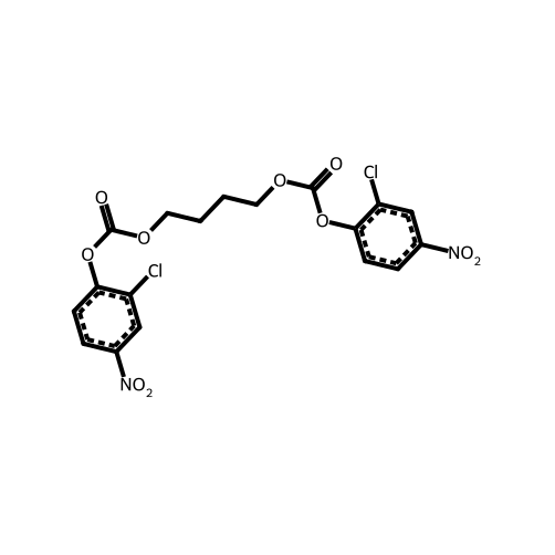 O=C(OCCCCOC(=O)Oc1ccc([N+](=O)[O-])cc1Cl)Oc1ccc([N+](=O)[O-])cc1Cl